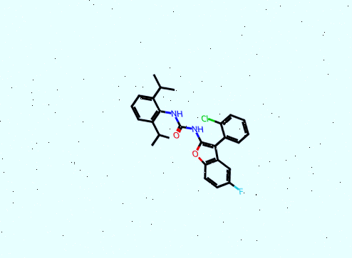 CC(C)c1cccc(C(C)C)c1NC(=O)Nc1oc2ccc(F)cc2c1-c1ccccc1Cl